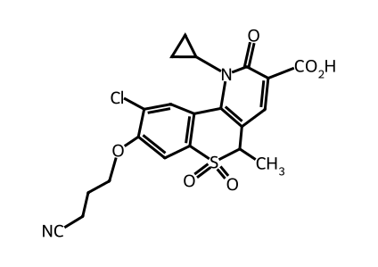 CC1c2cc(C(=O)O)c(=O)n(C3CC3)c2-c2cc(Cl)c(OCCCC#N)cc2S1(=O)=O